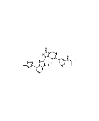 Cc1cn(-c2cccc3[nH]c(-c4n[nH]c5cnc(-c6cncc(NC(C)C)c6)c(F)c45)nc23)cn1